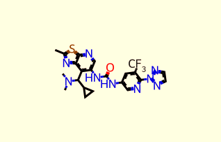 Cc1nc2c(C(C3CC3)N(C)C)c(NC(=O)Nc3cnc(-n4nccn4)c(C(F)(F)F)c3)cnc2s1